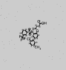 Cc1ccc(Cl)c(-c2ccc3c(c2)N(S(=O)(=O)c2cccc(C(F)(F)F)c2)CC(CCC(=O)O)O3)c1